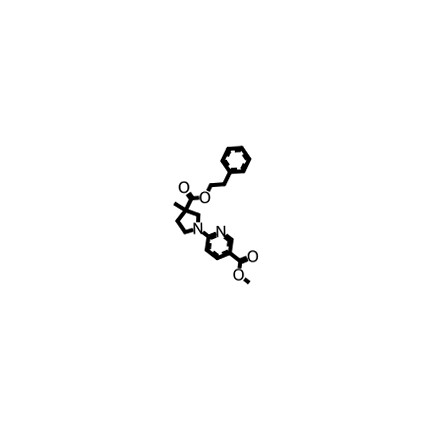 COC(=O)c1ccc(N2CCC(C)(C(=O)OCCc3ccccc3)C2)nc1